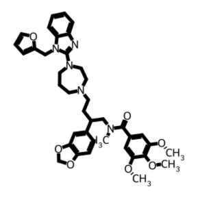 COc1cc(C(=O)N(C)CC(CCN2CCCN(c3nc4ccccc4n3Cc3ccco3)CC2)c2ccc3c(c2)OCO3)cc(OC)c1OC